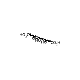 O=C(O)C=CCC(O)COCC(O)COCC(O)CC=CC(=O)O